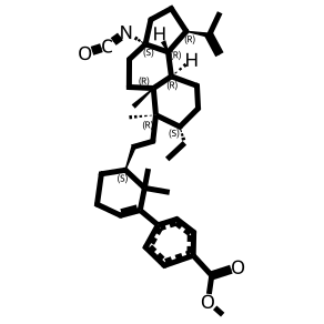 C=C(C)[C@@H]1CC[C@]2(N=C=O)CC[C@]3(C)[C@H](CC[C@H](CC)[C@@]3(C)CC[C@@H]3CCC=C(c4ccc(C(=O)OC)cc4)C3(C)C)[C@@H]12